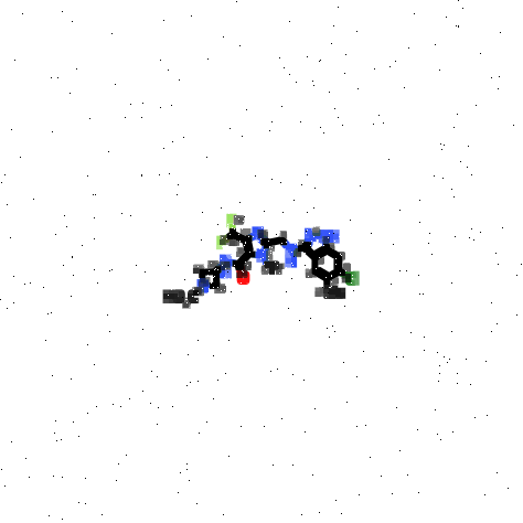 CC(C)n1c(CNc2n[nH]c3cc(Cl)c(C(C)(C)C)cc23)nc(C(F)F)c1C(=O)NC1CN(C(=O)O)C1